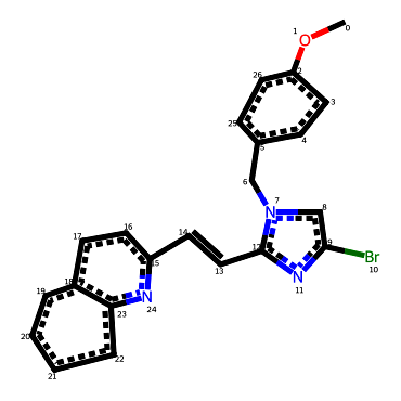 COc1ccc(Cn2cc(Br)nc2C=Cc2ccc3ccccc3n2)cc1